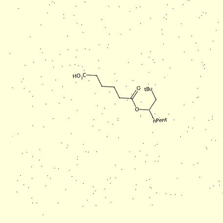 CCCCCC(CC(C)(C)C)OC(=O)CCCCC(=O)O